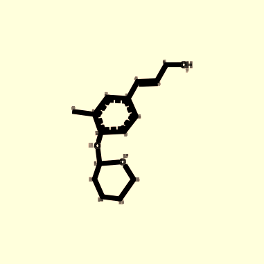 Cc1cc(/C=C/CO)ccc1OC1CCCCO1